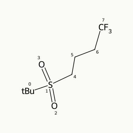 CC(C)(C)S(=O)(=O)CCCC(F)(F)F